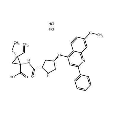 C=C[C@]1(CC)C[C@]1(NC(=O)[C@@H]1C[C@@H](Oc2cc(-c3ccccc3)nc3cc(OC)ccc23)CN1)C(=O)O.Cl.Cl